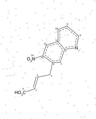 O=C(O)/C=C/Cc1cc2ncccc2cc1[N+](=O)[O-]